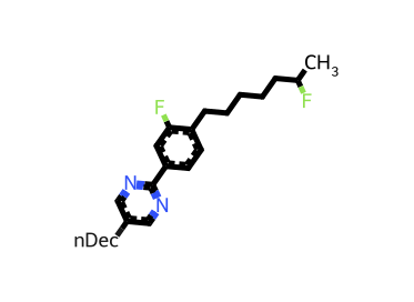 CCCCCCCCCCc1cnc(-c2ccc(CCCCCC(C)F)c(F)c2)nc1